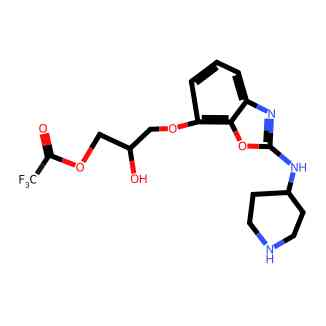 O=C(OCC(O)COc1cccc2nc(NC3CCNCC3)oc12)C(F)(F)F